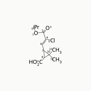 CC(C)OC(=O)C(Cl)=CC1C(C(=O)O)C1(C)C